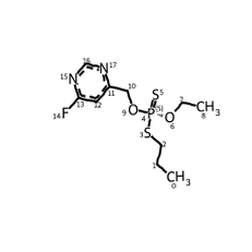 CCCS[P@@](=S)(OCC)OCc1cc(F)ncn1